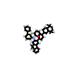 CC1(C)CCC(C)(C)c2cc(-c3ccc(-c4cc5c(cc4N(c4ccccc4)c4cccc6c4sc4ccccc46)C(C)(C)c4ccccc4-5)cc3)ccc21